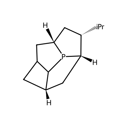 CC(C)[C@H]1C[C@H]2CC3C[C@H]4C[C@@H]1P2C34